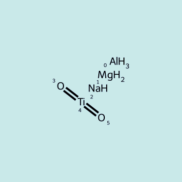 [AlH3].[MgH2].[NaH].[O]=[Ti]=[O]